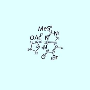 CSc1ncc2c(C)c(Br)c(=O)n(C3CCC[C@@H]3OC(C)=O)c2n1